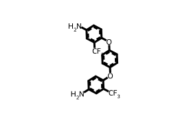 Nc1ccc(Oc2ccc(Oc3ccc(N)cc3C(F)(F)F)cc2)c(C(F)(F)F)c1